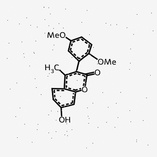 COc1ccc(OC)c(-c2c(C)c3ccc(O)cc3oc2=O)c1